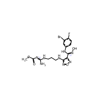 COC(=O)/N=C(\N)NCCCNc1nonc1/C(=N/O)Nc1ccc(F)c(Br)c1